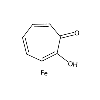 O=c1cccccc1O.[Fe]